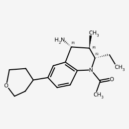 CC[C@H]1[C@H](C)[C@@H](N)c2cc(C3CCOCC3)ccc2N1C(C)=O